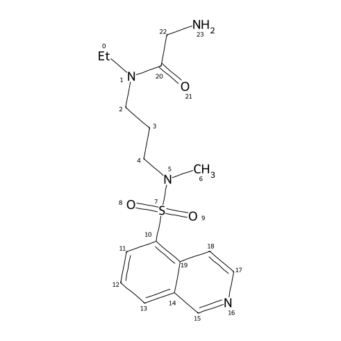 CCN(CCCN(C)S(=O)(=O)c1cccc2cnccc12)C(=O)CN